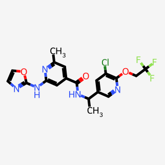 Cc1cc(C(=O)NC(C)c2cnc(OCC(F)(F)F)c(Cl)c2)cc(Nc2ncco2)n1